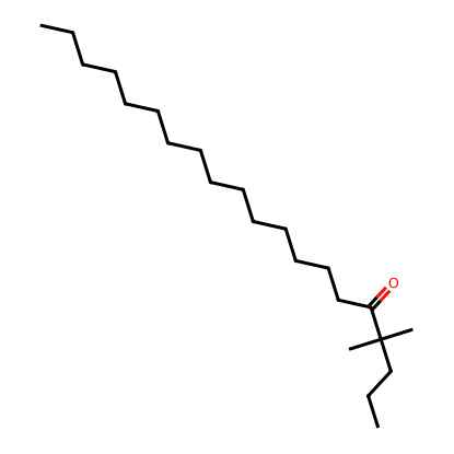 CCCCCCCCCCCCCCCC(=O)C(C)(C)CCC